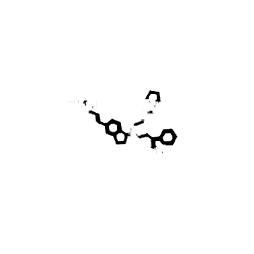 O=C(C=Cc1ccc2c(c1)CCC2N(CCOC(=O)N1CCCC1)CCc1c[nH]c2ccccc12)NO